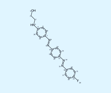 OCCNc1ccc(/N=N/c2ccc(/N=N/c3ccc(F)cc3)cc2)cc1